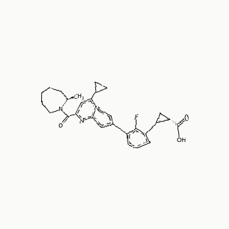 C[C@@H]1CCCCCN1C(=O)c1cc(C2CC2)n2cc(-c3cccc(C4C[C@@H]4C(=O)O)c3F)cc2n1